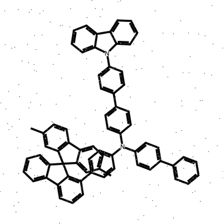 Cc1ccc2c(c1)C1(c3cc(C)ccc3-2)c2ccccc2-c2cccc(-c3ccc(N(c4ccc(-c5ccccc5)cc4)c4ccc(-c5ccc(-n6c7ccccc7c7ccccc76)cc5)cc4)cc3)c21